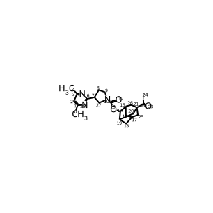 Cc1cc(C)nc(C2CCN(C(=O)OC3C4CC5CC3CC(C(=O)I)(C5)C4)C2)n1